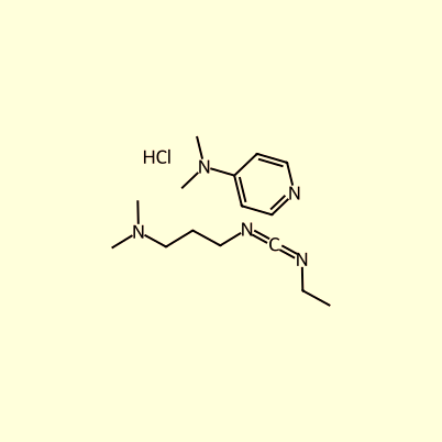 CCN=C=NCCCN(C)C.CN(C)c1ccncc1.Cl